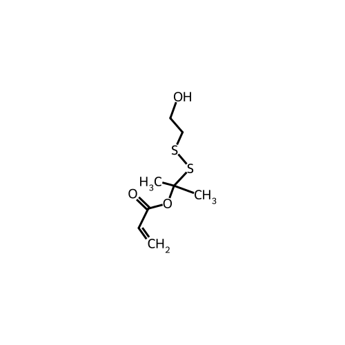 C=CC(=O)OC(C)(C)SSCCO